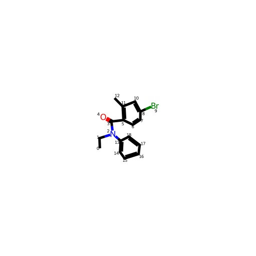 CCN(C(=O)c1ccc(Br)cc1C)c1ccccc1